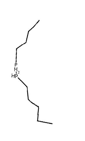 CCCCCP[PH3]CCCC